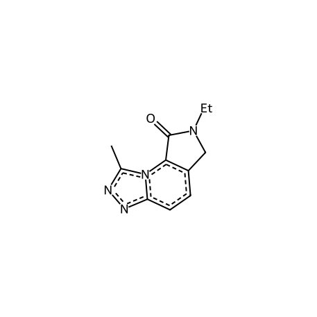 CCN1Cc2ccc3nnc(C)n3c2C1=O